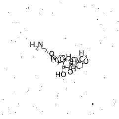 C[C@]12CCC(=NOCCCN)CC1[C@@H](CO)C(=O)[C@@H]1[C@@H]2CC[C@]2(C)C(=O)CC[C@@H]12